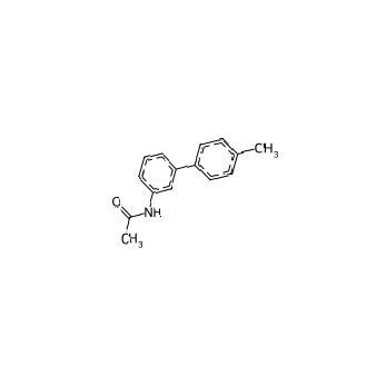 CC(=O)Nc1cccc(-c2ccc(C)cc2)c1